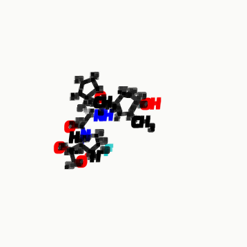 Cc1cc(C(=O)N[C@@H](CC2(C)CCCC2)C(=O)N2C[C@H](F)[C@H]3OCC(=O)[C@H]32)ccc1O